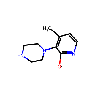 Cc1ccnc([O])c1N1CCNCC1